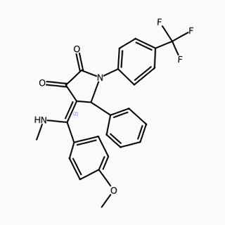 CN/C(=C1\C(=O)C(=O)N(c2ccc(C(F)(F)F)cc2)C1c1ccccc1)c1ccc(OC)cc1